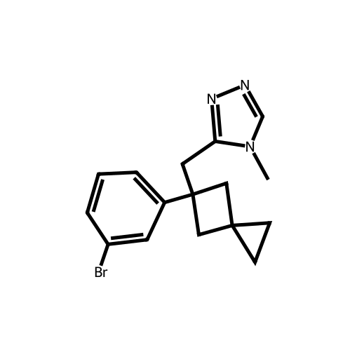 Cn1cnnc1CC1(c2cccc(Br)c2)CC2(CC2)C1